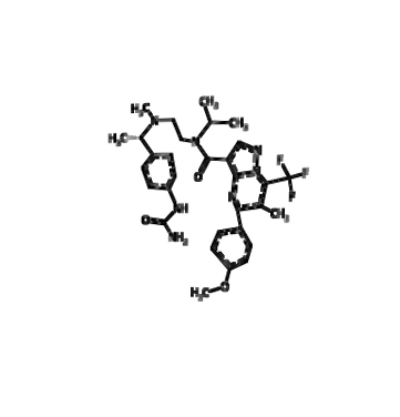 COc1ccc(-c2nc3c(C(=O)N(CCN(C)[C@@H](C)c4ccc(NC(N)=O)cc4)C(C)C)cnn3c(C(F)(F)F)c2C)cc1